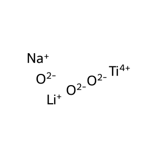 [Li+].[Na+].[O-2].[O-2].[O-2].[Ti+4]